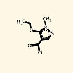 CCOc1c(C(=O)Cl)cnn1C